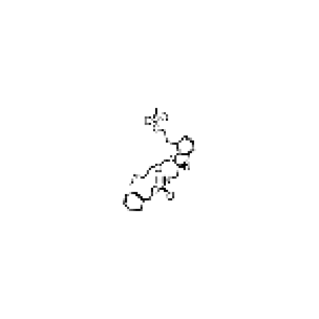 CSCCOCn1c(CNC(=O)OCc2ccccc2)nc2cccc(CCOS(C)(=O)=O)c21